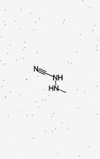 CNNC#N